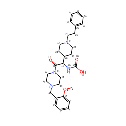 COc1ccccc1CN1CCN(C(=O)[C@H](NC(=O)O)C2CCN(CCc3ccccc3)CC2)CC1